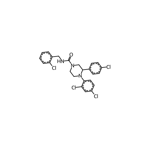 O=C(NCc1ccccc1Cl)N1CCN(c2ccc(Cl)cc2Cl)C(c2ccc(Cl)cc2)C1